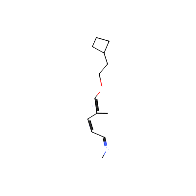 C\N=C/C=C\C(C)=C\OCCC1CCC1